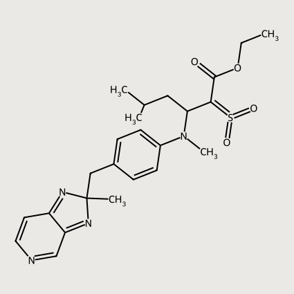 CCOC(=O)C(C(CC(C)C)N(C)c1ccc(CC2(C)N=c3ccncc3=N2)cc1)=S(=O)=O